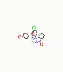 COc1ccc(C(=O)N2CCN3C(=O)c4ccccc4C23c2ccc(Cl)cc2)cc1